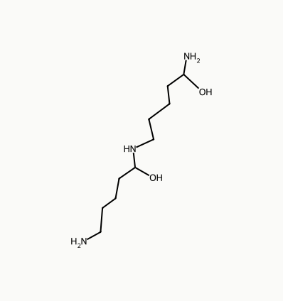 NCCCCC(O)NCCCCC(N)O